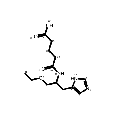 CCOCC(Cc1cnc[nH]1)NC(=O)CCCC(=O)O